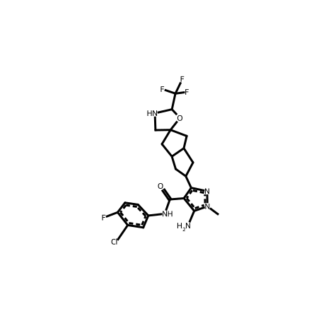 Cn1nc(C2CC3CC4(CNC(C(F)(F)F)O4)CC3C2)c(C(=O)Nc2ccc(F)c(Cl)c2)c1N